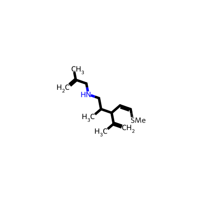 C=C(C)CNCC(C)C(/C=C\SC)C(=C)C